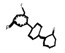 O=C1CCCCC1C1CCC(c2cc(F)cc(F)c2)CC1